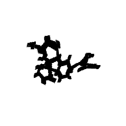 COC(=O)c1ccc2c(c1)-c1ccc(F)cc1C21SCCS1